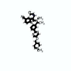 CC(c1cccc(-c2ncc(OCC3CCN(C)CC3)cn2)c1)N(C)c1sc2ccc(C#N)cc2c1/C=C\C=O